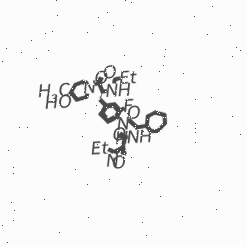 CCC(=O)N[C@H](Cc1ccc(NC(=O)[C@@H](NC(=O)c2conc2CC)C2CCCCCC2)c(F)c1)C(=O)N1CCC(C)(O)CC1